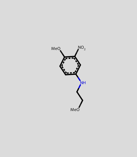 COCCNc1ccc(OC)c([N+](=O)[O-])c1